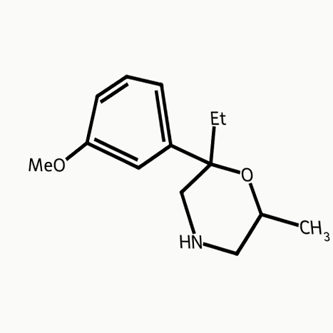 CCC1(c2cccc(OC)c2)CNCC(C)O1